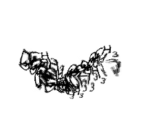 CC=C(C)C(=O)[O-].CC=C(C)C(=O)[O-].CC=C(C)C(=O)[O-].CC=C(C)C(=O)[O-].CC=C(C)C(=O)[O-].CC=C(C)C(=O)[O-].CC=C(C)C(=O)[O-].CC=C(C)C(=O)[O-].[C+4].[C+4]